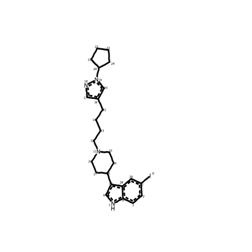 Ic1ccc2[nH]cc(C3CCN(CCCCc4cnn(C5CCCC5)c4)CC3)c2c1